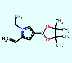 C=Cc1cc(B2OC(C)(C)C(C)(C)O2)cn1CC